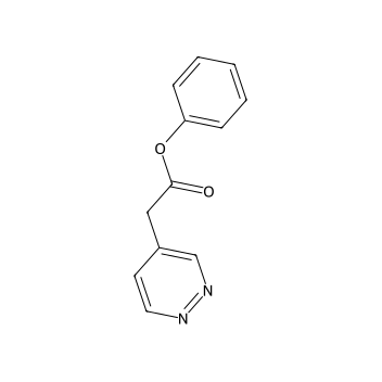 O=C(Cc1ccnnc1)Oc1ccccc1